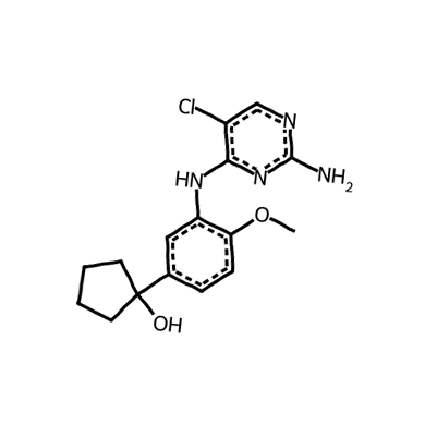 COc1ccc(C2(O)CCCC2)cc1Nc1nc(N)ncc1Cl